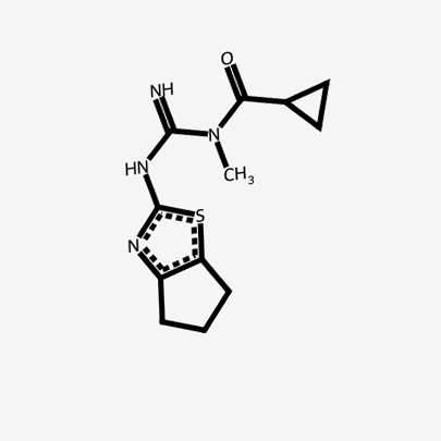 CN(C(=N)Nc1nc2c(s1)CCC2)C(=O)C1CC1